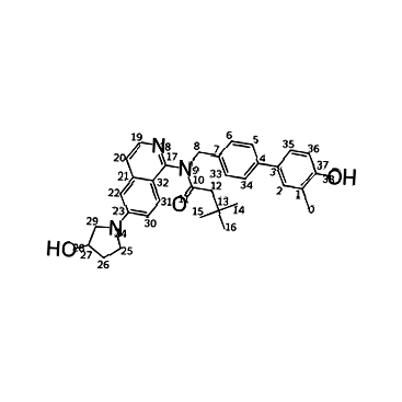 Cc1cc(-c2ccc(CN(C(=O)CC(C)(C)C)c3nccc4cc(N5CCC(O)C5)ccc34)cc2)ccc1O